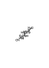 O=C(NCCCl)NC[C@@H](O)[C@@H](O)CNC(=O)NCCCl